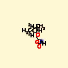 [2H]c1c(C)c([2H])c(OCC2CN([2H])C(=O)O2)c([2H])c1C